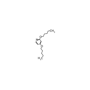 CCCCCOc1c[c]nc(OCCCCC)c1